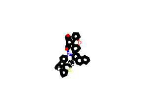 c1ccc2c(c1)Oc1ccccc1C21c2ccccc2-c2ccc(N(c3ccc4c(c3)C3(c5ccccc5Sc5ccccc53)c3ccccc3-4)c3ccc4c(ccc5ccccc54)c3)cc21